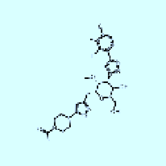 CO[C@@H]1[C@@H](n2cc(-c3ccc(Cl)c(F)c3F)nn2)[C@@H](O)[C@@H](CO)O[C@@H]1Cc1cc(C2CCN(C(C)=O)CC2)on1